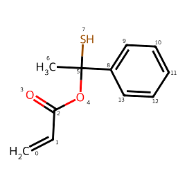 C=CC(=O)OC(C)(S)c1ccccc1